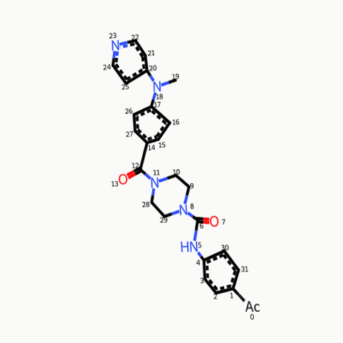 CC(=O)c1ccc(NC(=O)N2CCN(C(=O)c3ccc(N(C)c4ccncc4)cc3)CC2)cc1